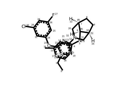 CCn1nc(N[C@H]2[C@@H]3CC[C@H]2CN(c2cc(C)ncn2)C3)nc1Oc1cc(F)cc(Cl)c1